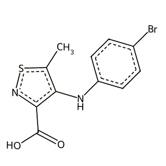 Cc1snc(C(=O)O)c1Nc1ccc(Br)cc1